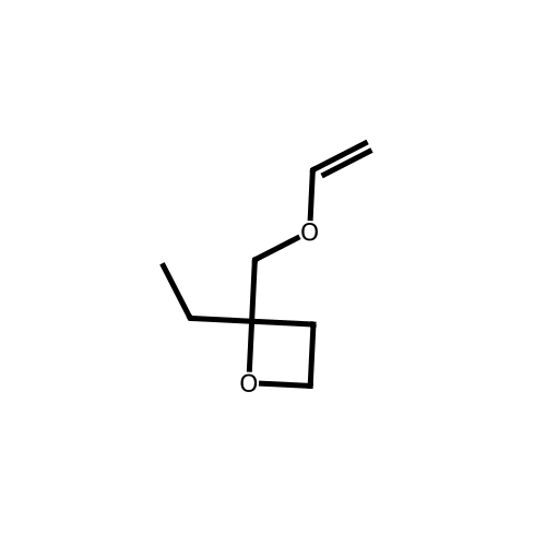 C=COCC1(CC)CCO1